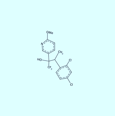 COc1ccc(C(O)(C(C)c2ccc(Cl)cc2Cl)C(F)(F)F)cn1